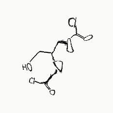 O=C(Cl)OCC(CO)OC(=O)Cl